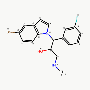 CNCC(O)C(c1cccc(F)c1)n1ccc2cc(Br)ccc21